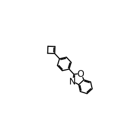 C1=C(c2ccc(-c3nc4ccccc4o3)cc2)CC1